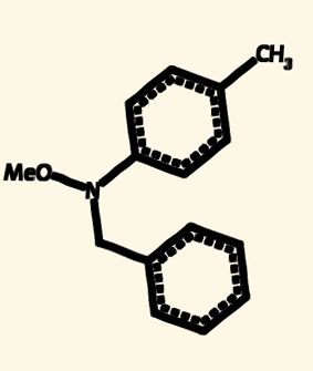 CON(Cc1ccccc1)c1ccc(C)cc1